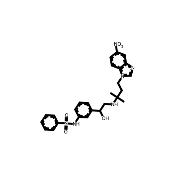 CC(C)(CCn1cnc2cc([N+](=O)[O-])ccc21)NCC(O)c1cccc(NS(=O)(=O)c2ccccc2)c1